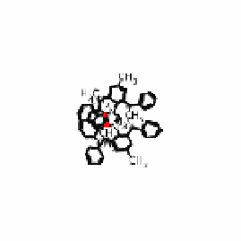 Cc1cc([C@H](C)c2ccccc2)c(-n2c[n+](-c3c([C@H](C)c4ccccc4)cc(C)cc3[C@H](C)c3ccccc3)c3c2-c2c(C)ccc4ccc(C)c-3c24)c([C@H](C)c2ccccc2)c1